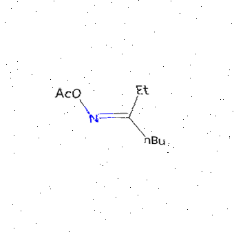 CCCCC(CC)=NOC(C)=O